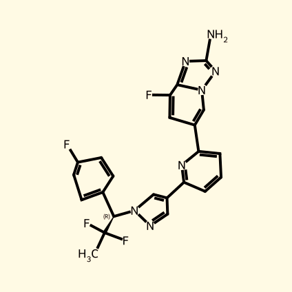 CC(F)(F)[C@@H](c1ccc(F)cc1)n1cc(-c2cccc(-c3cc(F)c4nc(N)nn4c3)n2)cn1